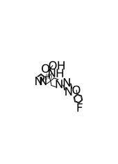 O=C(O)N[C@@H]1c2ccnn2CC12CCN(c1cnc(Oc3ccc(F)cc3)cn1)CC2